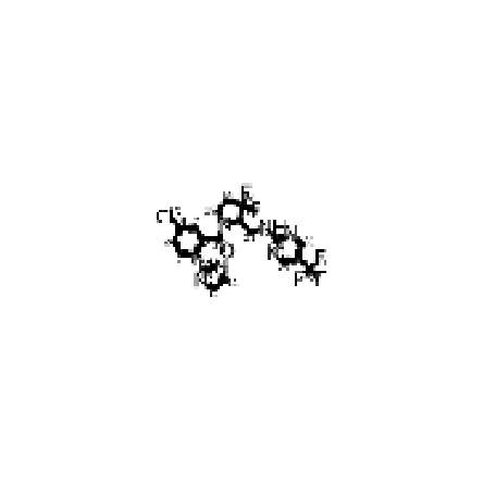 O=C(c1cc(Cl)ccc1-n1nccn1)N1CCC(F)(F)C1CNc1ncc(C(F)(F)F)cn1